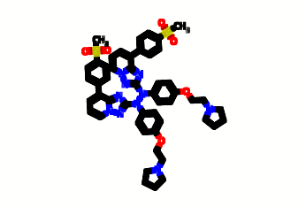 CS(=O)(=O)c1ccc(-c2cccn3nc(N(c4ccc(OCCN5CCCC5)cc4)N(c4ccc(OCCN5CCCC5)cc4)c4nc5c(-c6ccc(S(C)(=O)=O)cc6)cccn5n4)nc23)cc1